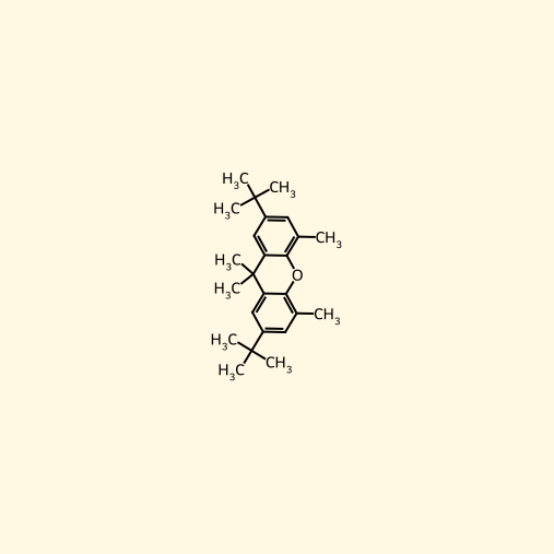 Cc1cc(C(C)(C)C)cc2c1Oc1c(C)cc(C(C)(C)C)cc1C2(C)C